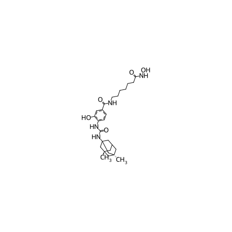 C[C@]12CC3CC(NC(=O)Nc4ccc(C(=O)NCCCCCCC(=O)NO)cc4O)(C1)C[C@@](C)(C3)C2